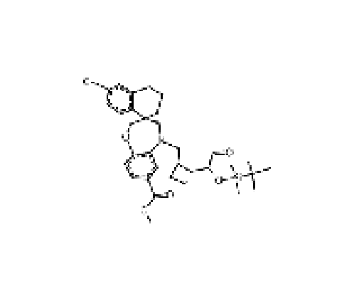 COC(=O)c1ccc2c(c1)N(C[C@@H]1CC[C@H]1[C@H](C=O)O[Si](C)(C)C(C)(C)C)C[C@@]1(CCCc3cc(Cl)ccc31)CO2